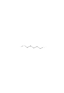 CCCCCCCC[N]N